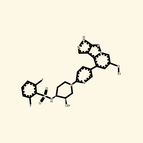 CCOc1cc(-c2ccc(N3CC[C@H](NS(=O)(=O)c4c(F)cccc4F)[C@H](O)C3)nc2)c2c3cn[nH]c3nn2c1